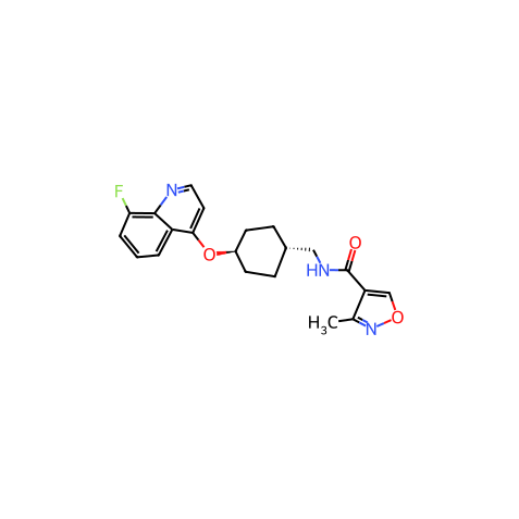 Cc1nocc1C(=O)NC[C@H]1CC[C@H](Oc2ccnc3c(F)cccc23)CC1